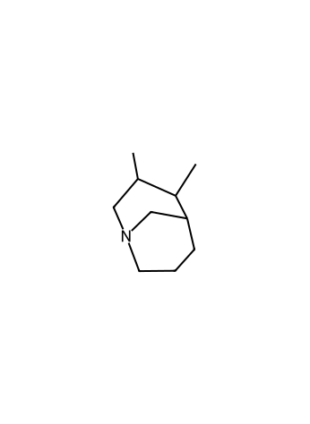 CC1CN2CCCC(C2)C1C